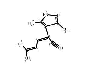 C#C/C(=C\C=C(C)C)c1c(C)n[nH]c1C